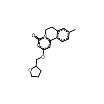 Cc1ccc2c(c1)CCn1c-2cc(OCC2CCCO2)nc1=O